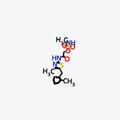 CNS(=O)(=O)OCC(=O)Nc1nc(C)c(Cc2ccccc2C)s1